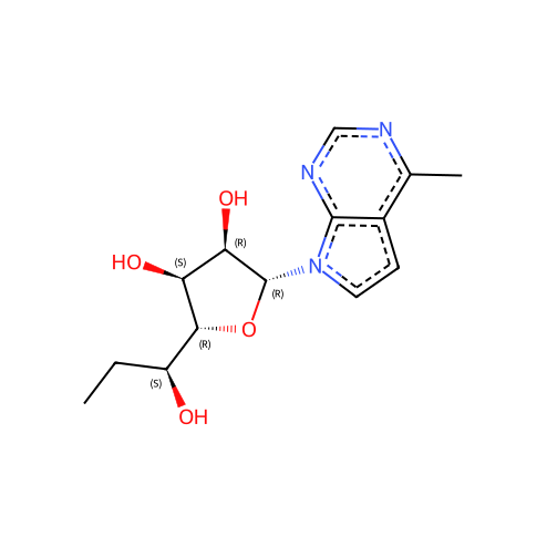 CC[C@H](O)[C@H]1O[C@@H](n2ccc3c(C)ncnc32)[C@H](O)[C@@H]1O